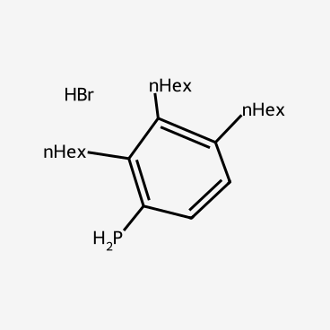 Br.CCCCCCc1ccc(P)c(CCCCCC)c1CCCCCC